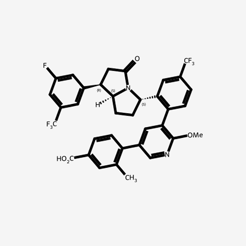 COc1ncc(-c2ccc(C(=O)O)cc2C)cc1-c1ccc(C(F)(F)F)cc1[C@@H]1CC[C@H]2[C@@H](c3cc(F)cc(C(F)(F)F)c3)CC(=O)N12